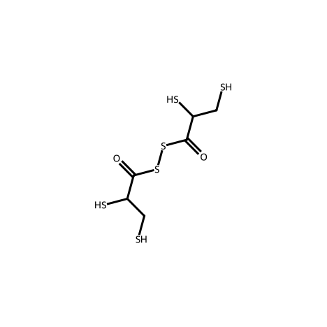 O=C(SSC(=O)C(S)CS)C(S)CS